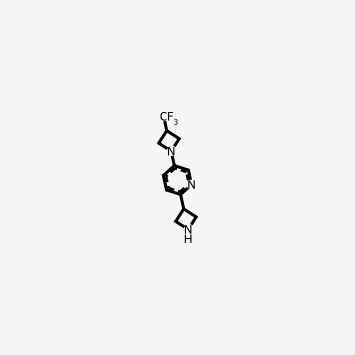 FC(F)(F)C1CN(c2ccc(C3CNC3)nc2)C1